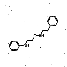 B(CCc1ccccc1)OCCNc1ccccc1